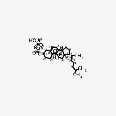 CC(C)CCCC(C)[C@H]1CC[C@H]2[C@@H]3CC=C4C[C@@H](OS(=O)(=O)OS(=O)(=O)O)CC[C@]4(C)[C@H]3CC[C@]12C